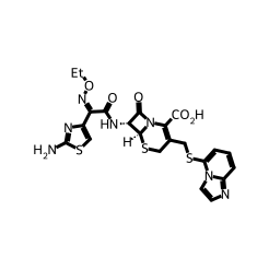 CCO/N=C(\C(=O)N[C@@H]1C(=O)N2C(C(=O)O)=C(CSc3cccc4nccn34)CS[C@@H]12)c1csc(N)n1